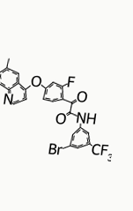 Cc1cc2nccc(Oc3ccc(C(=O)C(=O)Nc4cc(Br)cc(C(F)(F)F)c4)c(F)c3)c2cc1C